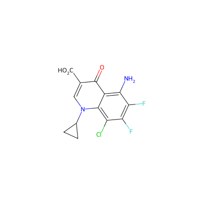 Nc1c(F)c(F)c(Cl)c2c1c(=O)c(C(=O)O)cn2C1CC1